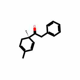 CC1=CC[C@@](C)(C(=O)Cc2ccccc2)C=C1